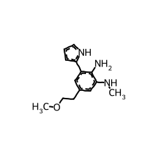 CNc1cc(CCOC)cc(-c2ccc[nH]2)c1N